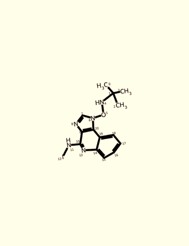 CC(C)(C)NOn1cnc2c(NI)nc3ccccc3c21